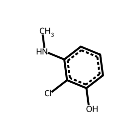 CNc1cccc(O)c1Cl